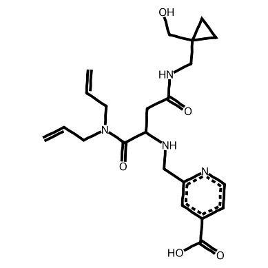 C=CCN(CC=C)C(=O)C(CC(=O)NCC1(CO)CC1)NCc1cc(C(=O)O)ccn1